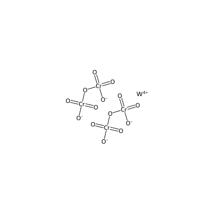 [O]=[Cr](=[O])([O-])[O][Cr](=[O])(=[O])[O-].[O]=[Cr](=[O])([O-])[O][Cr](=[O])(=[O])[O-].[W+4]